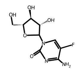 Nc1nc(=O)n(C2O[C@H](CO)[C@@H](O)[C@@H]2O)cc1F